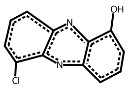 Oc1cccc2nc3c(Cl)cccc3nc12